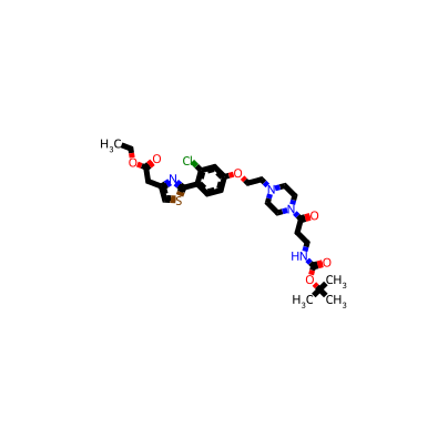 CCOC(=O)Cc1csc(-c2ccc(OCCN3CCN(C(=O)CCNC(=O)OC(C)(C)C)CC3)cc2Cl)n1